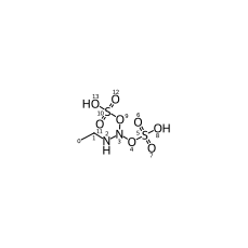 CCNN(OS(=O)(=O)O)OS(=O)(=O)O